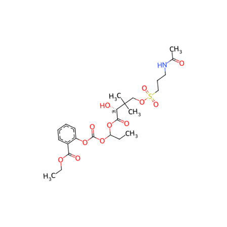 CCOC(=O)c1ccccc1OC(=O)OC(CC)OC(=O)[C@H](O)C(C)(C)COS(=O)(=O)CCCNC(C)=O